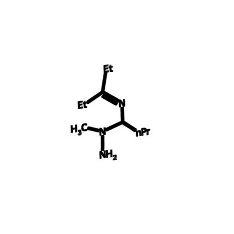 CCCC(N=C(CC)CC)N(C)N